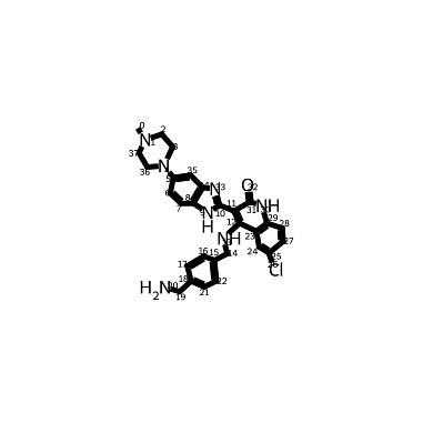 CN1CCN(c2ccc3[nH]c(-c4c(NCc5ccc(CN)cc5)c5cc(Cl)ccc5[nH]c4=O)nc3c2)CC1